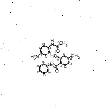 CC(=O)Nc1ccc(N)cc1.Nc1ccc(C(=O)Oc2ccccc2)c(O)c1